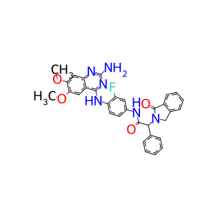 COc1cc2nc(N)nc(Nc3ccc(NC(=O)C(c4ccccc4)N4Cc5ccccc5C4=O)cc3F)c2cc1OC